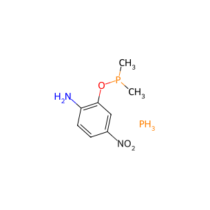 CP(C)Oc1cc([N+](=O)[O-])ccc1N.P